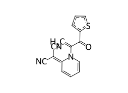 C=C(C(=O)c1cccs1)N1C=CC=CC1=C(C#N)C#N